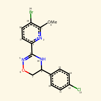 COc1nc(C2=NOCC(c3ccc(Cl)cc3)N2)ccc1Br